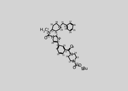 CN(C(=O)n1cnc(-c2cccc(C(=O)N3CCN(C(=O)OC(C)(C)C)CC3)c2)c1)C1CCN(Cc2ccccc2)CC1